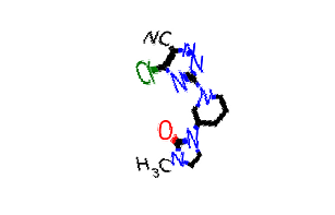 CN1CCN(C2CCCN(c3nnc(C#N)c(Cl)n3)C2)C1=O